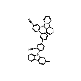 CC1C=Cc2c(n(-c3ccc(-c4cccc(-c5ccc(C#N)cc5N5C6C=CC=CC6C6CCC=CC65)c4)cc3C#N)c3ccccc23)C1